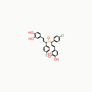 [O-][S+](C(/C=C/c1ccc(O)c(O)c1)c1ccc(Cl)cc1)C(/C=C/c1ccc(O)c(O)c1)c1ccc(Cl)cc1